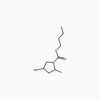 CCCCOC(=O)N1CC(O)CC1C